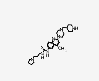 Cc1cc(N2CCN(CC3CCNCC3)CC2)nc2ccc(NC(=S)NCCCN3CCCC3)cc12